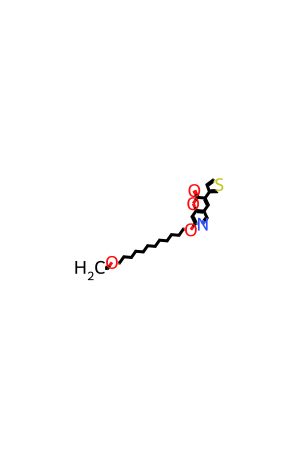 C=COCCCCCCCCCCCCOc1cc2oc(=O)c(-c3ccsc3)cc2cn1